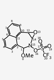 COC1c2cccc3cccc(c23)C2OC2N1OS(=O)(=O)C(F)(F)F